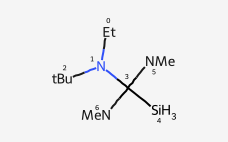 CCN(C(C)(C)C)C([SiH3])(NC)NC